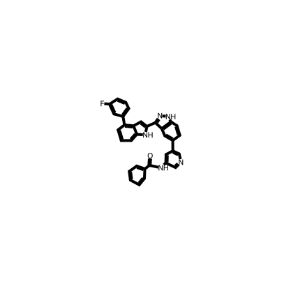 O=C(Nc1cncc(-c2ccc3[nH]nc(-c4cc5c(-c6cccc(F)c6)cccc5[nH]4)c3c2)c1)c1ccccc1